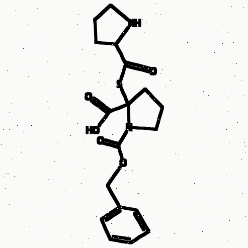 O=C(SC1(C(=O)O)CCCN1C(=O)OCc1ccccc1)C1CCCN1